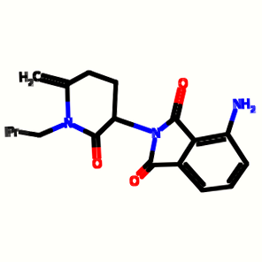 C=C1CCC(N2C(=O)c3cccc(N)c3C2=O)C(=O)N1CC(C)C